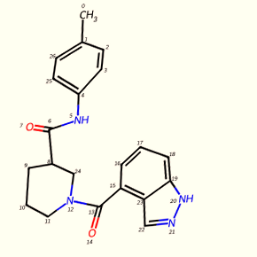 Cc1ccc(NC(=O)C2CCCN(C(=O)c3cccc4[nH]ncc34)C2)cc1